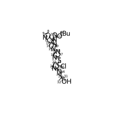 CC(C)(C)OC(=O)N[C@@H]1c2cccnc2CC12CCN(c1cnc(Sc3ccnc(N4CC(C(C)(C)O)C4)c3Cl)cn1)CC2